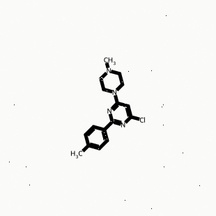 Cc1ccc(-c2nc(Cl)cc(N3CCN(C)CC3)n2)cc1